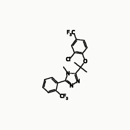 Cn1c(-c2ccccc2C(F)(F)F)nnc1C(C)(C)Oc1ccc(C(F)(F)F)cc1Cl